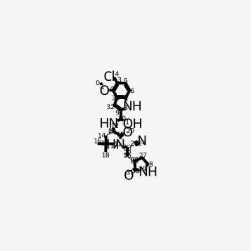 COc1c(Cl)ccc2[nH]c(C(O)N[C@@H](CC(C)(C)C)C(=O)N[C@H](C#N)C[C@@H]3CCNC3=O)cc12